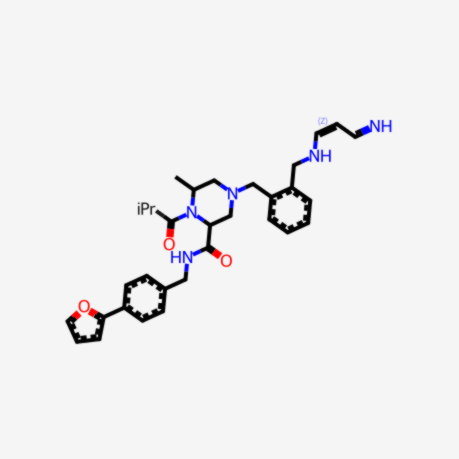 CC(C)C(=O)N1C(C)CN(Cc2ccccc2CN/C=C\C=N)CC1C(=O)NCc1ccc(-c2ccco2)cc1